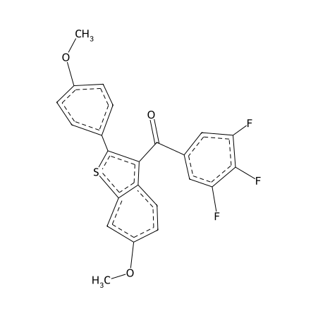 COc1ccc(-c2sc3cc(OC)ccc3c2C(=O)c2cc(F)c(F)c(F)c2)cc1